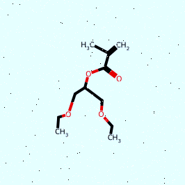 C=C(C)C(=O)OC(COCC)COCC